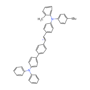 Cc1ccccc1N(c1ccc(/C=C/c2ccc(-c3ccc(N(c4ccccc4)c4ccccc4)cc3)cc2)cc1)c1ccc(C(C)(C)C)cc1